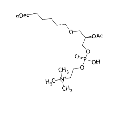 CCCCCCCCCCCCCCCOC[C@H](COP(=O)(O)OCC[N+](C)(C)C)OC(C)=O